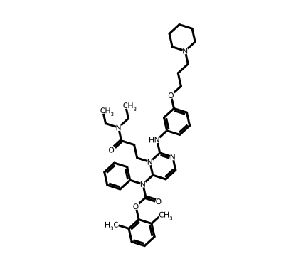 CCN(CC)C(=O)CCN1C(Nc2cccc(OCCCN3CCCCC3)c2)=NC=CC1N(C(=O)Oc1c(C)cccc1C)c1ccccc1